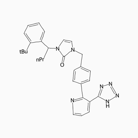 CCCC(c1ccccc1C(C)(C)C)n1ccn(Cc2ccc(-c3ncccc3-c3nnn[nH]3)cc2)c1=O